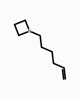 C=CCCCCN1CCC1